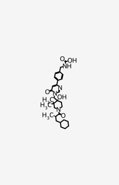 C[C@H](CC1CCCCC1)C(=O)N1CCC(O)(Cn2cnc(-c3ccc(CNC(=O)O)cc3)cc2=O)C(C)(C)C1